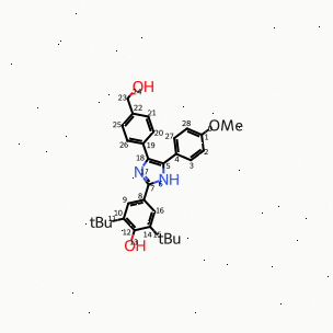 COc1ccc(-c2[nH]c(-c3cc(C(C)(C)C)c(O)c(C(C)(C)C)c3)nc2-c2ccc(CO)cc2)cc1